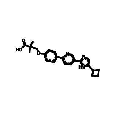 CC(C)(COc1ccc(-c2ccc(-c3ncc(C4CCC4)[nH]3)cn2)cc1)C(=O)O